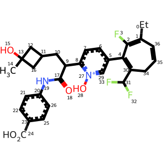 CCC1=C(F)C(c2ccc(C(CC3CC(C)(O)C3)C(=O)Nc3ccc(C(=O)O)cc3)[n+](O)c2)=C(C(F)F)CC=C1